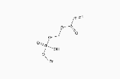 C=CC(=O)OCOP(=O)(O)OC(C)C